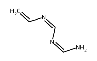 C=C/N=C\N=C/N